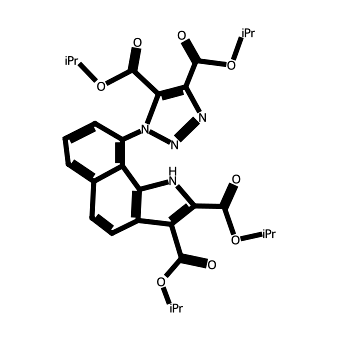 CC(C)OC(=O)c1nnn(-c2cccc3ccc4c(C(=O)OC(C)C)c(C(=O)OC(C)C)[nH]c4c23)c1C(=O)OC(C)C